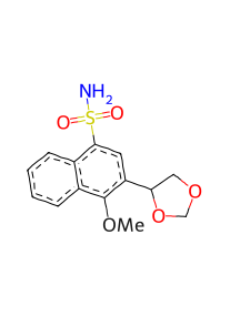 COc1c(C2COCO2)cc(S(N)(=O)=O)c2ccccc12